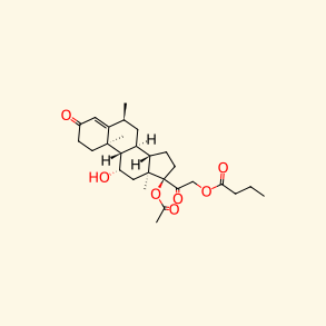 CCCC(=O)OCC(=O)[C@@]1(OC(C)=O)CC[C@H]2[C@@H]3C[C@H](C)C4=CC(=O)CC[C@]4(C)[C@H]3[C@@H](O)C[C@@]21C